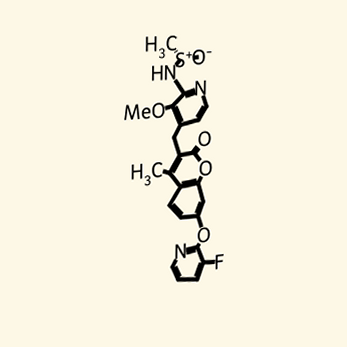 COc1c(Cc2c(C)c3ccc(Oc4ncccc4F)cc3oc2=O)ccnc1N[S+](C)[O-]